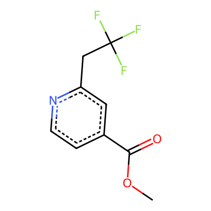 COC(=O)c1ccnc(CC(F)(F)F)c1